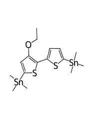 CCOc1c[c]([Sn]([CH3])([CH3])[CH3])sc1-c1cc[c]([Sn]([CH3])([CH3])[CH3])s1